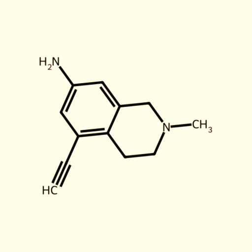 C#Cc1cc(N)cc2c1CCN(C)C2